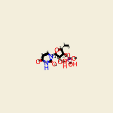 CC[C@H]1O[C@@H](n2ccc(=O)[nH]c2=O)[C@@H](O)C1OP(=O)(O)O